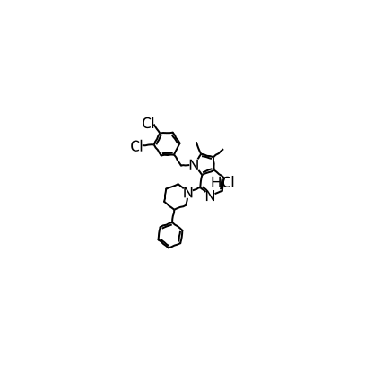 Cc1c(C)n(Cc2ccc(Cl)c(Cl)c2)c2c(N3CCCC(c4ccccc4)C3)nccc12.Cl